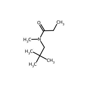 CCC(=O)N(C)CC(C)(C)C